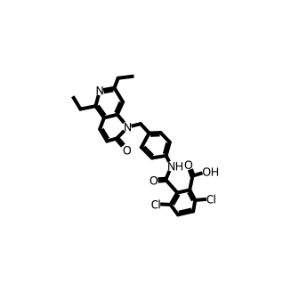 CCc1cc2c(ccc(=O)n2Cc2ccc(NC(=O)c3c(Cl)ccc(Cl)c3C(=O)O)cc2)c(CC)n1